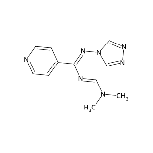 CN(C)C=NC(=Nn1cnnc1)c1ccncc1